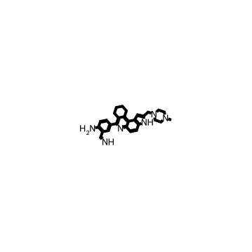 CN1CCN(Cc2cc3c(ccc4nc(-c5ccc(N)c(C=N)c5)c5c(c43)CCCC5)[nH]2)CC1